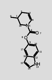 CC1CC=CN(C(=O)Oc2ccc3[nH]ccc3c2)C1